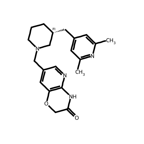 Cc1cc(C[C@H]2CCCN(Cc3cnc4c(c3)OCC(=O)N4)C2)cc(C)n1